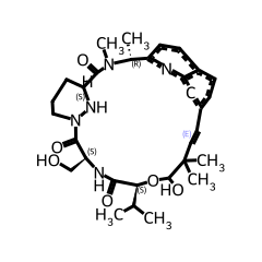 CC(C)[C@@H]1OC(O)C(C)(C)/C=C/c2ccc3ccc(nc3c2)[C@@H](C)N(C)C(=O)[C@@H]2CCCN(N2)C(=O)[C@H](CO)NC1=O